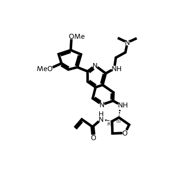 C=CC(=O)N[C@H]1COC[C@H]1Nc1cc2c(NCCN(C)C)nc(-c3cc(OC)cc(OC)c3)cc2cn1